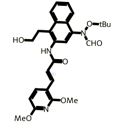 COc1ccc(/C=C/C(=O)Nc2cc(N(C=O)OC(C)(C)C)c3ccccc3c2CCO)c(OC)n1